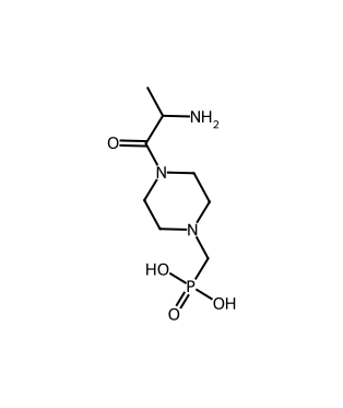 CC(N)C(=O)N1CCN(CP(=O)(O)O)CC1